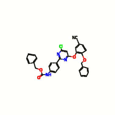 N#Cc1ccc(OCc2ccccc2)c(Oc2cc(Cl)nc(-c3ccc(NC(=O)OCc4ccccc4)cc3)n2)c1